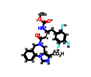 CC(C)(C)OC(=O)N[C@@H](CC(=O)N1Cc2ccccc2-n2cnc(C(=O)O)c2C1)Cc1cc(F)c(F)cc1F